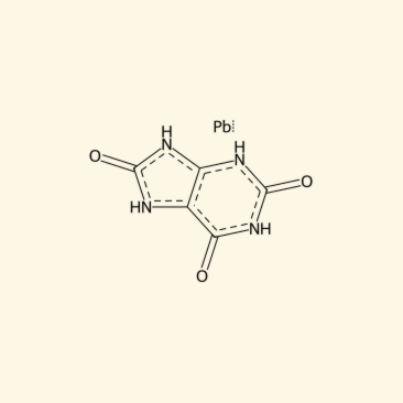 O=c1[nH]c(=O)c2[nH]c(=O)[nH]c2[nH]1.[Pb]